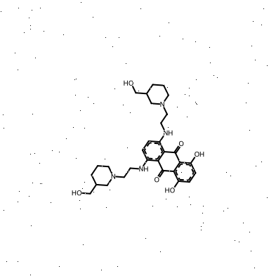 O=C1c2c(O)ccc(O)c2C(=O)c2c(NCCN3CCCC(CO)C3)ccc(NCCN3CCCC(CO)C3)c21